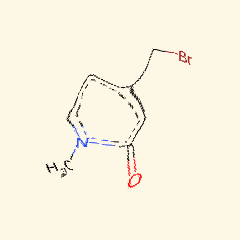 Cn1ccc(CBr)cc1=O